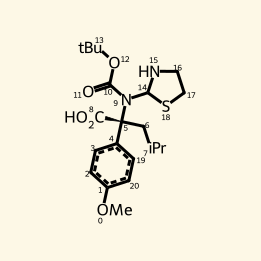 COc1ccc([C@](CC(C)C)(C(=O)O)N(C(=O)OC(C)(C)C)C2NCCS2)cc1